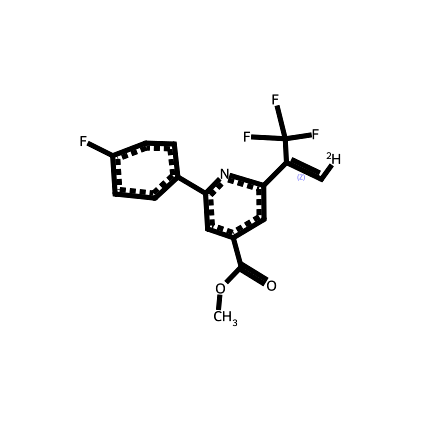 [2H]/C=C(/c1cc(C(=O)OC)cc(-c2ccc(F)cc2)n1)C(F)(F)F